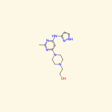 Cc1nc(Nc2cc[nH]n2)cc(N2CCN(CCO)CC2)n1